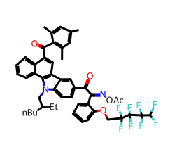 CCCCC(CC)Cn1c2ccc(C(=O)/C(=N/OC(C)=O)c3ccccc3OCC(F)(F)C(F)(F)C(F)(F)C(F)F)cc2c2cc(C(=O)c3c(C)cc(C)cc3C)c3ccccc3c21